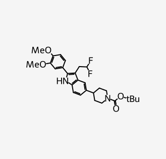 COc1ccc(-c2[nH]c3ccc(C4CCN(C(=O)OC(C)(C)C)CC4)cc3c2CC(F)F)cc1OC